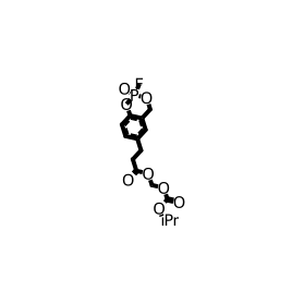 CC(C)OC(=O)OCOC(=O)CCc1ccc2c(c1)COP(=O)(F)O2